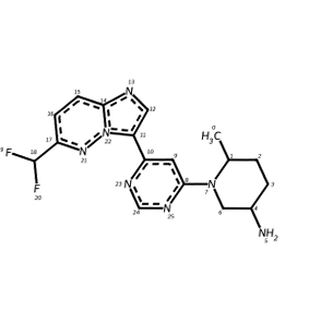 CC1CCC(N)CN1c1cc(-c2cnc3ccc(C(F)F)nn23)ncn1